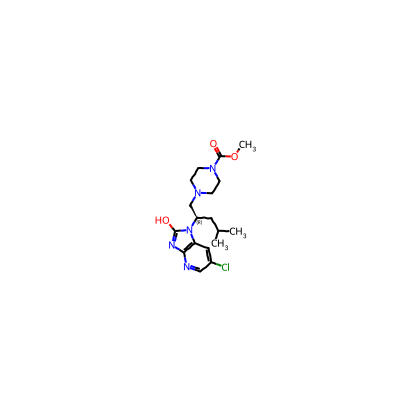 COC(=O)N1CCN(C[C@@H](CC(C)C)n2c(O)nc3ncc(Cl)cc32)CC1